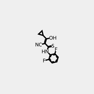 N#C/C(C(=S)Nc1c(F)cccc1F)=C(/O)C1CC1